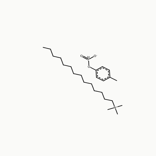 CCCCCCCCCCCCCC[N+](C)(C)C.Cc1ccc(O[PH](=O)[O-])cc1